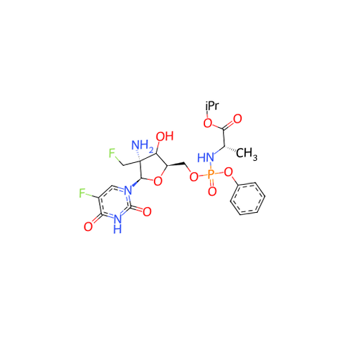 CC(C)OC(=O)[C@H](C)NP(=O)(OC[C@H]1O[C@@H](n2cc(F)c(=O)[nH]c2=O)[C@@](N)(CF)C1O)Oc1ccccc1